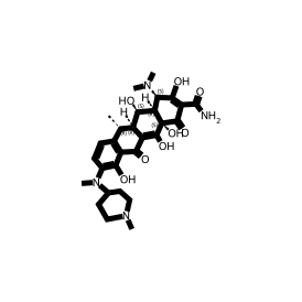 C[C@H]1c2ccc(N(C)C3CCN(C)CC3)c(O)c2C(=O)C2=C(O)[C@]3(O)C(=O)C(C(N)=O)=C(O)[C@@H](N(C)C)[C@@H]3[C@@H](O)[C@@H]21